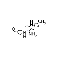 Cc1ccc2cc(/C(N)=C/Nc3ccc(C=O)cc3)c(=O)[nH]c2c1